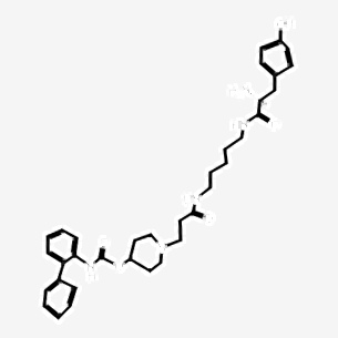 N[C@H](Cc1ccc(O)cc1)C(=O)NCCCCCNC(=O)CCN1CCC(OC(=O)Nc2ccccc2-c2ccccc2)CC1